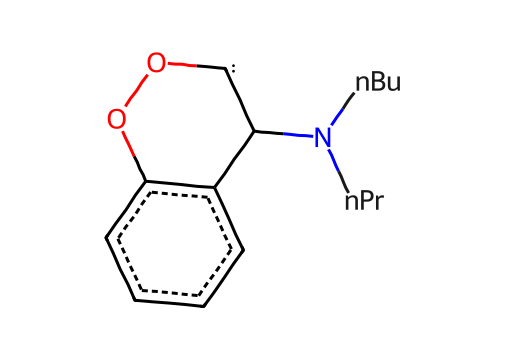 CCCCN(CCC)C1[C]OOc2ccccc21